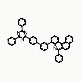 c1ccc(-c2nc(-c3ccccc3)nc(-c3ccc(-c4cccc(-c5cccc6c5nc(-c5ccccc5)c5ccc7ccccc7c56)c4)cc3)n2)cc1